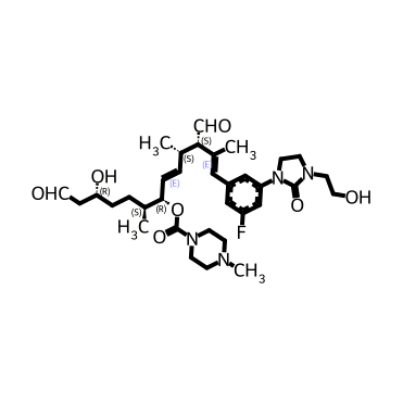 C/C(=C\c1cc(F)cc(N2CCN(CCO)C2=O)c1)[C@@H](C=O)[C@@H](C)/C=C/[C@H](OC(=O)N1CCN(C)CC1)[C@@H](C)CC[C@@H](O)CC=O